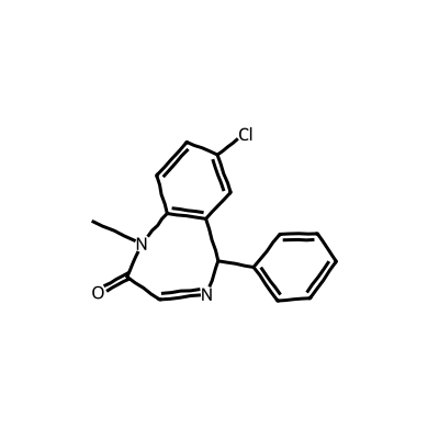 CN1C(=O)C=NC(c2ccccc2)c2cc(Cl)ccc21